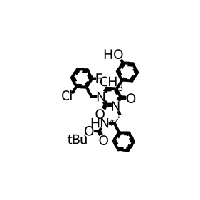 Cc1c(-c2cccc(O)c2)c(=O)n(C[C@@H](NC(=O)OC(C)(C)C)c2ccccc2)c(=O)n1Cc1c(F)cccc1Cl